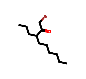 CCCCCCC(CCC)C(=O)CBr